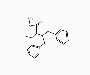 COC(=O)C(CO)C(Cc1ccccc1)Cc1ccccc1